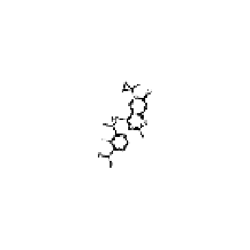 Cc1nc(N[C@H](C)c2cccc(C(F)F)c2C)c2cn(C3(C)CC3)c(=O)cc2n1